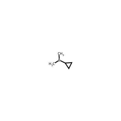 CB(C)C1CC1